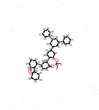 CC1(C)Oc2cc(-c3cc(-c4ccccc4)cc(-c4ccccc4)c3)ccc2-c2cc(-c3cccc4oc5ccccc5c34)ccc2O1